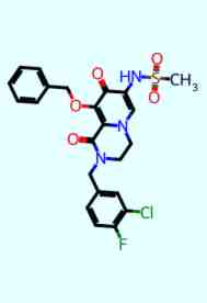 CS(=O)(=O)Nc1cn2c(c(OCc3ccccc3)c1=O)C(=O)N(Cc1ccc(F)c(Cl)c1)CC2